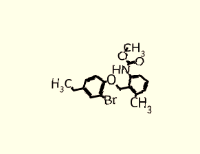 CCc1ccc(OCc2c(C)cccc2NC(=O)OC)c(Br)c1